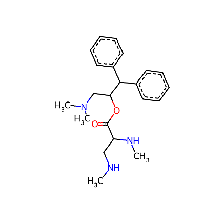 CNCC(NC)C(=O)OC(CN(C)C)C(c1ccccc1)c1ccccc1